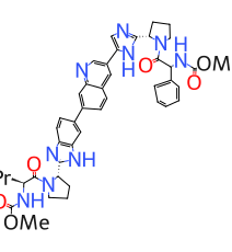 COC(=O)N[C@H](C(=O)N1CCC[C@H]1c1nc2ccc(-c3ccc4cc(-c5cnc([C@@H]6CCCN6C(=O)[C@H](NC(=O)OC)c6ccccc6)[nH]5)cnc4c3)cc2[nH]1)C(C)C